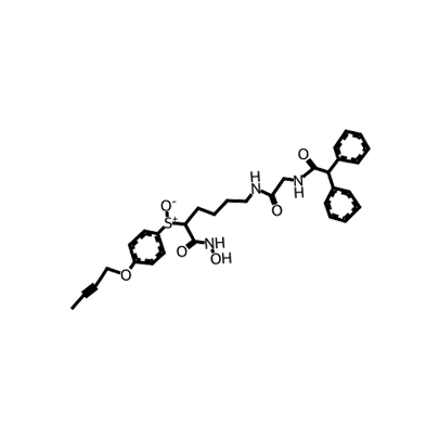 CC#CCOc1ccc([S+]([O-])C(CCCCNC(=O)CNC(=O)C(c2ccccc2)c2ccccc2)C(=O)NO)cc1